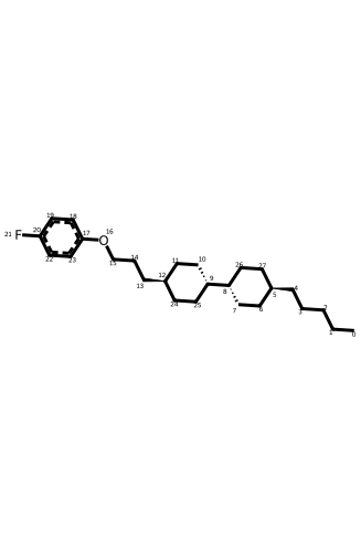 CCCCC[C@H]1CC[C@H]([C@H]2CC[C@H](CCCOc3ccc(F)cc3)CC2)CC1